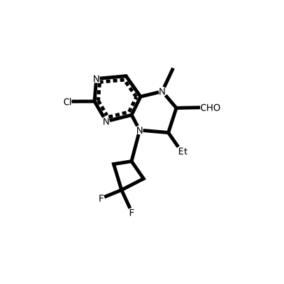 CCC1C(C=O)N(C)c2cnc(Cl)nc2N1C1CC(F)(F)C1